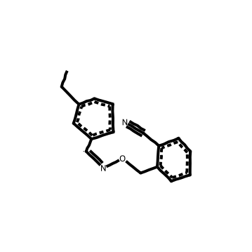 CCc1cccc(/[C]=N\OCc2ccccc2C#N)c1